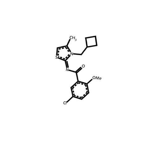 COc1ccc(Cl)cc1C(=O)N=c1scc(C)n1CC1CCC1